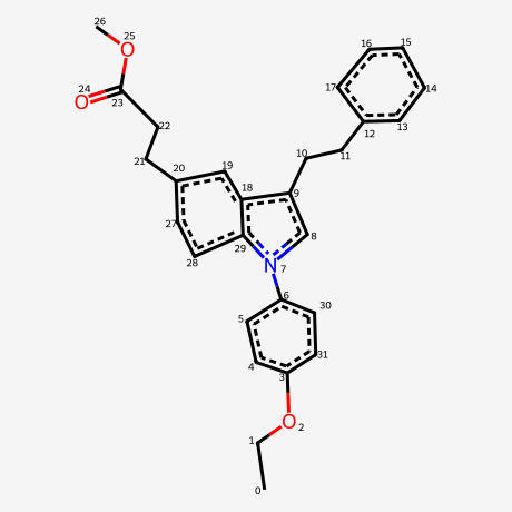 CCOc1ccc(-n2cc(CCc3ccccc3)c3cc(CCC(=O)OC)ccc32)cc1